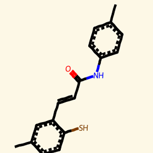 Cc1ccc(NC(=O)/C=C/c2cc(C)ccc2S)cc1